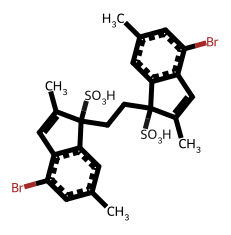 CC1=Cc2c(Br)cc(C)cc2C1(CCC1(S(=O)(=O)O)C(C)=Cc2c(Br)cc(C)cc21)S(=O)(=O)O